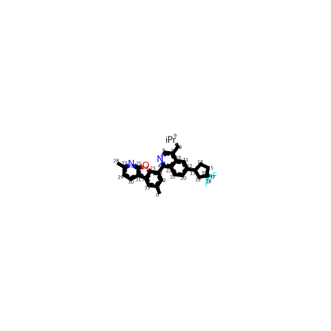 Cc1cc(-c2ncc(CC(C)C)c3cc(C4CCC(F)(F)C4)ccc23)c2oc3nc(C)ccc3c2c1